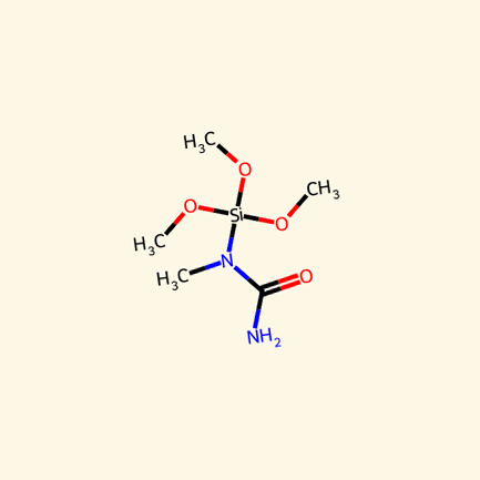 CO[Si](OC)(OC)N(C)C(N)=O